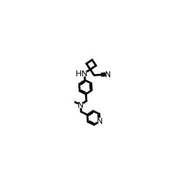 CN(Cc1ccncc1)Cc1ccc(NC2(CC#N)CCC2)cc1